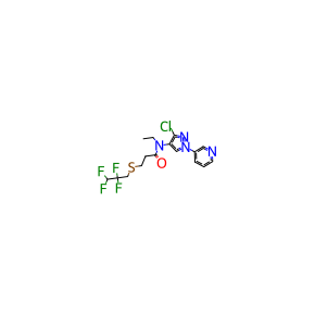 CCN(C(=O)CCSCC(F)(F)C(F)F)c1cn(-c2cccnc2)nc1Cl